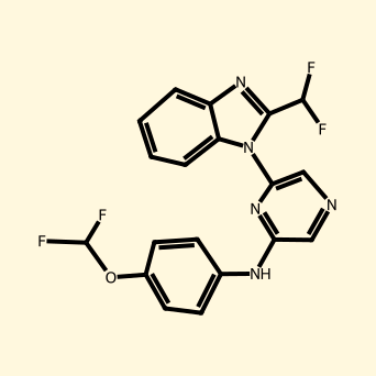 FC(F)Oc1ccc(Nc2cncc(-n3c(C(F)F)nc4ccccc43)n2)cc1